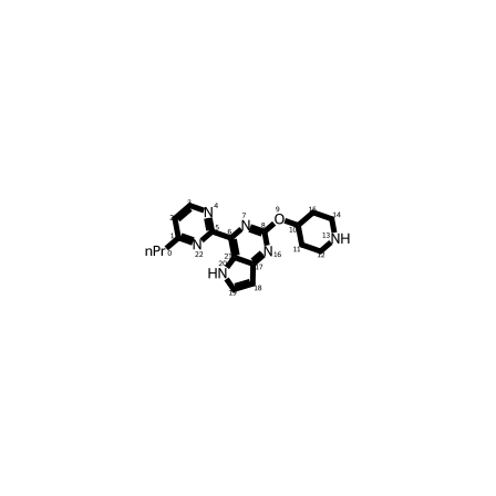 CCCc1ccnc(-c2nc(OC3CCNCC3)nc3cc[nH]c23)n1